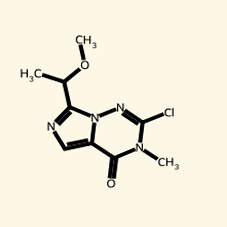 COC(C)c1ncc2c(=O)n(C)c(Cl)nn12